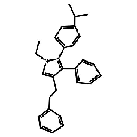 CCn1cc(CCc2ccccc2)c(-c2ccccc2)c1-c1ccc(C(C)C)cc1